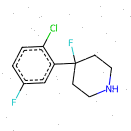 Fc1ccc(Cl)c(C2(F)CCNCC2)c1